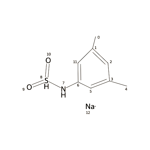 Cc1cc(C)cc(N[SH](=O)=O)c1.[Na]